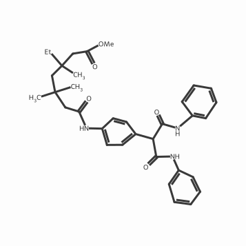 CCC(C)(CC(=O)OC)CC(C)(C)CC(=O)Nc1ccc(C(C(=O)Nc2ccccc2)C(=O)Nc2ccccc2)cc1